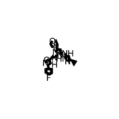 Fc1ccc(C2=NOC(CNc3nc(Nc4cc(C5CC5)n[nH]4)cc(N4CCOCC4)n3)C2)cc1